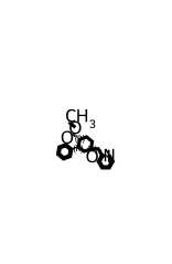 CCOC(=O)[C@@H]1CC[C@](O)(Cc2ccccn2)C[C@H]1c1ccccc1